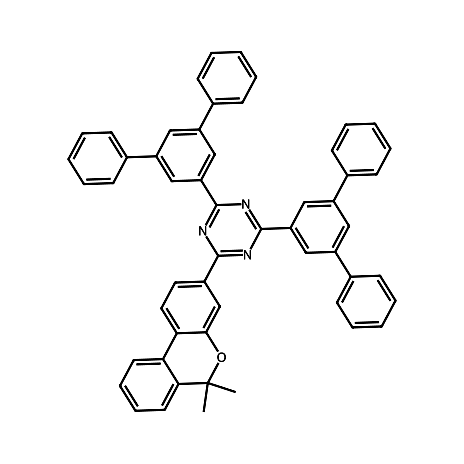 CC1(C)Oc2cc(-c3nc(-c4cc(-c5ccccc5)cc(-c5ccccc5)c4)nc(-c4cc(-c5ccccc5)cc(-c5ccccc5)c4)n3)ccc2-c2ccccc21